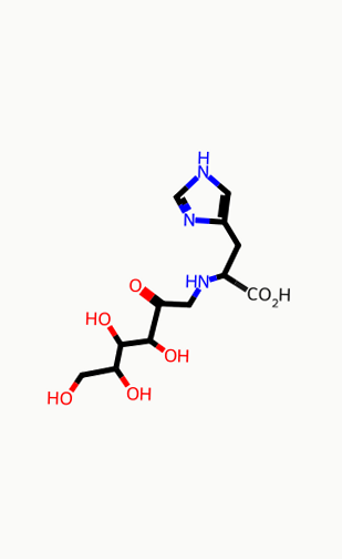 O=C(O)C(Cc1c[nH]cn1)NCC(=O)C(O)C(O)C(O)CO